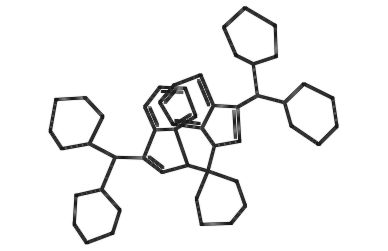 C1=C(C(C2CCCCC2)C2CCCCC2)c2ccccc2C1C1(C2C=C(C(C3CCCCC3)C3CCCCC3)c3ccccc32)CCCCC1